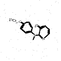 CCOC(=O)c1ccc(N(C)c2ncccc2CC)cc1